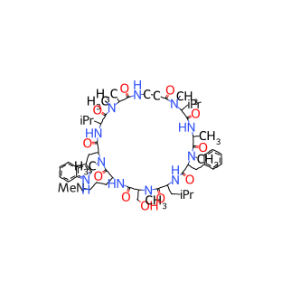 CNCCCC1NC(=O)C(CO)N(C)C(=O)C(CC(C)C)NC(=O)C(Cc2ccccc2)N(C)C(=O)C(C)NC(=O)C(C(C)C)N(C)C(=O)CCNC(=O)C(C)N(C)C(=O)C(C(C)C)NC(=O)C(Cc2c[nH]c3ccccc23)N(C)C1=O